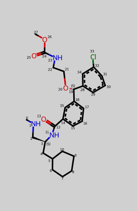 CNC[C@H](CC1CCCCC1)NC(=O)c1cccc([C@H](OCCNC(=O)OC)c2cccc(Cl)c2)c1